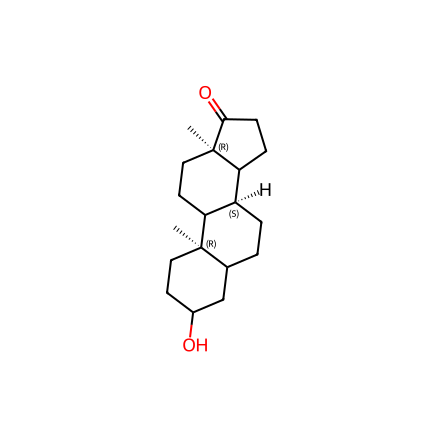 C[C@@]12CCC(O)CC1CC[C@H]1C2CC[C@@]2(C)C(=O)CCC12